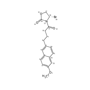 COc1ccc2cc(CCCC(=O)N3C(=O)OC[C@@H]3Br)ccc2c1